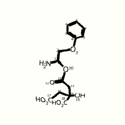 NC(COc1ccccc1)OC(=O)CC(O)(CC(=O)O)C(=O)O